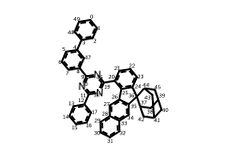 c1ccc(-c2cccc(-c3nc(-c4ccccc4)nc(-c4cccc5c4-c4cc6ccccc6cc4C54C5CC6CC(C5)CC4C6)n3)c2)cc1